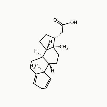 C[C@]12CC[C@H]3[C@@H](CCC4=CCC=C[C@@]43C)[C@@H]1CC[C@@H]2CC(=O)O